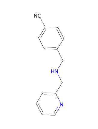 N#Cc1ccc(CNCc2ccccn2)cc1